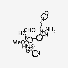 COc1ncc(-c2ccc3nc(N)n(CCCN4CCOCC4)c3c2)cc1NS(=O)(=O)c1cccnc1.O=CO